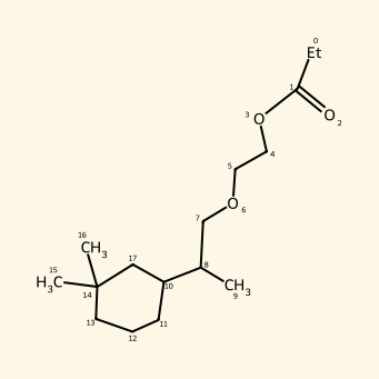 CCC(=O)OCCOCC(C)C1CCCC(C)(C)C1